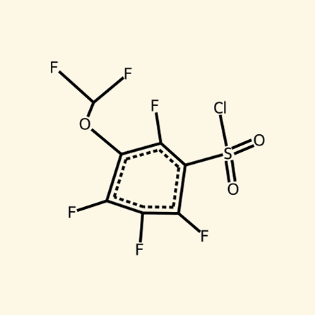 O=S(=O)(Cl)c1c(F)c(F)c(F)c(OC(F)F)c1F